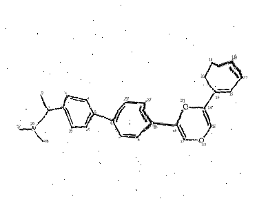 CC(c1ccc(-c2ccc(C3=COC=C(C4=CC=CCC4)O3)cc2)cc1)N(C)C